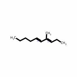 CC/C=C(C)/[C]=C/CCCC